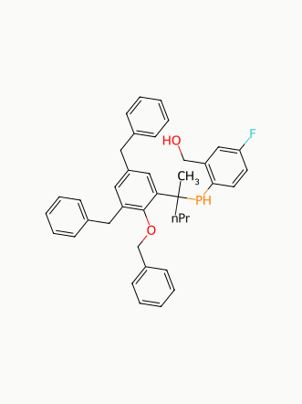 CCCC(C)(Pc1ccc(F)cc1CO)c1cc(Cc2ccccc2)cc(Cc2ccccc2)c1OCc1ccccc1